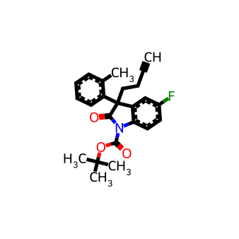 C#CCCC1(c2ccccc2C)C(=O)N(C(=O)OC(C)(C)C)c2ccc(F)cc21